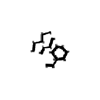 C=CC=C.C=CC=CC.C=Cc1ccccc1